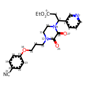 CCOC(=O)CC(c1cccnc1)N1CCN(CCCOc2ccc(C#N)cc2)C(=O)C1=O